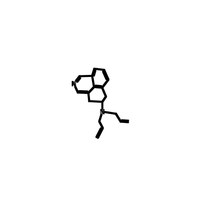 C=CCN(CC=C)C1Cc2cccc3cncc(c23)C1